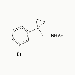 CCc1cccc(C2(CNC(C)=O)CC2)c1